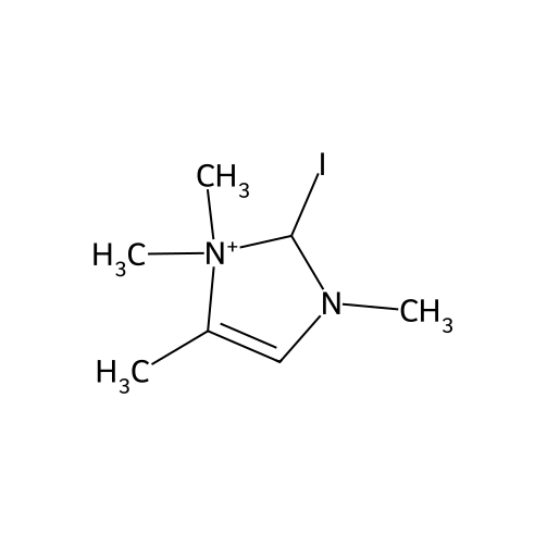 CC1=CN(C)C(I)[N+]1(C)C